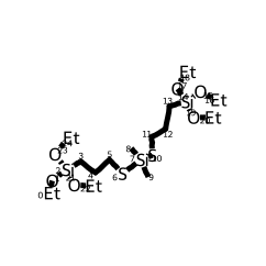 CCO[Si](CCCS[Si](C)(C)SCCC[Si](OCC)(OCC)OCC)(OCC)OCC